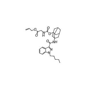 C=CCOC(=O)CNC(=O)OC12CC3CC(CC(NC(=O)c4nn(CCCCC)c5ccccc45)(C3)C1)C2